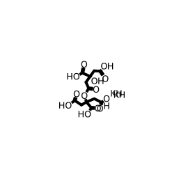 O=C(O)CC(O)(CC(=O)OC(CC(=O)O)(CC(=O)O)C(=O)O)C(=O)O.[KH].[KH]